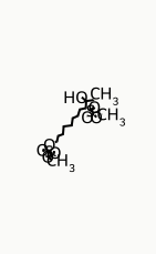 CCC(O)C(CCCCCCCCOS(=O)(=O)OC)S(=O)(=O)OC